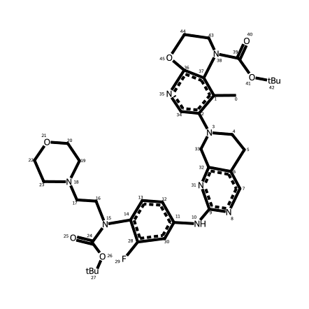 Cc1c(N2CCc3cnc(Nc4ccc(N(CCN5CCOCC5)C(=O)OC(C)(C)C)c(F)c4)nc3C2)cnc2c1N(C(=O)OC(C)(C)C)CCO2